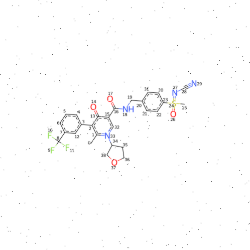 Cc1c(-c2cccc(C(F)(F)F)c2)c(=O)c(C(=O)NCc2ccc(S(C)(=O)=NC#N)cc2)cn1C1CCOC1